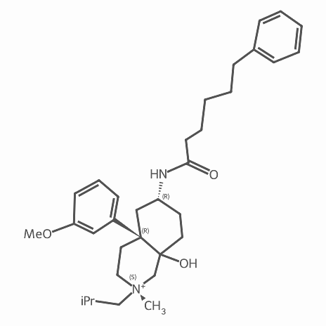 COc1cccc([C@]23CC[N@@+](C)(CC(C)C)CC2(O)CC[C@@H](NC(=O)CCCCCc2ccccc2)C3)c1